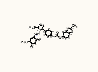 COc1cc(/C=N/n2c(SC)nnc2-c2ccc(OC(=O)Oc3ccc4sc(C)nc4c3)cc2)c(Br)cc1O